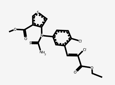 CCOC(=O)/C(Cl)=C/c1cc(N(C(N)=S)c2cscc2C(=O)OC)ccc1Cl